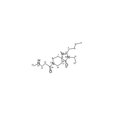 CCCCC1=NC2(CCN(C(=O)CCNC)CC2)C(=O)N1CC